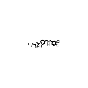 Nc1n[nH]c(N2CCC(CNCc3ccc(Cl)c(Cl)c3)CC2)n1